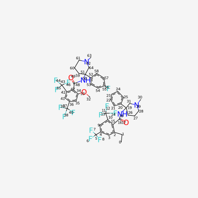 CCc1cc(C(F)(F)F)cc(C(F)(F)F)c1C(=O)NC1(c2ccccc2)CCCN(C)C1.COc1cc(C(F)(F)F)cc(C(F)(F)F)c1C(=O)NC1(c2ccc(F)cc2)CCCN(C)C1